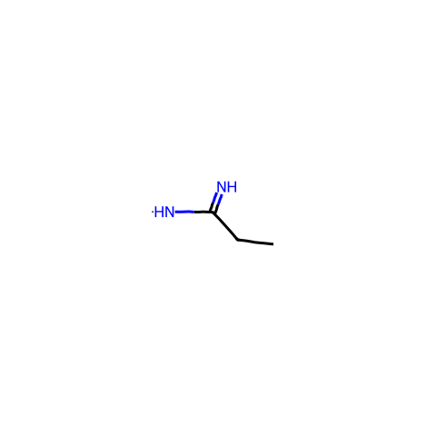 CCC([NH])=N